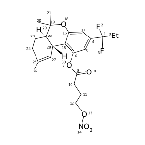 CCC(F)(F)c1cc(OC(=O)CCCO[N+](=O)[O-])c2c(c1)OC(C)(C)[C@@H]1CCC(C)=C[C@@H]21